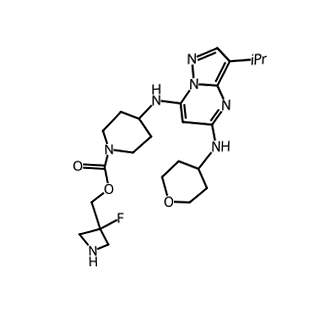 CC(C)c1cnn2c(NC3CCN(C(=O)OCC4(F)CNC4)CC3)cc(NC3CCOCC3)nc12